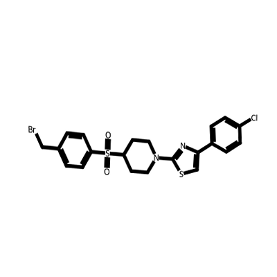 O=S(=O)(c1ccc(CBr)cc1)C1CCN(c2nc(-c3ccc(Cl)cc3)cs2)CC1